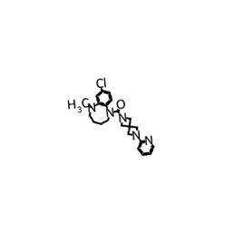 CN1CCCCN(C(=O)N2CC3(C2)CN(c2ccccn2)C3)c2ccc(Cl)cc21